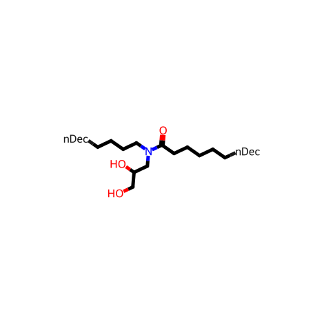 CCCCCCCCCCCCCCCC(=O)N(CCCCCCCCCCCCCC)CC(O)CO